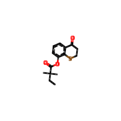 CCC(C)(C)C(=O)Oc1cccc2c1SCCC2=O